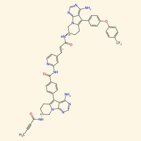 CC#CC(=O)N[C@@H]1CCc2c(-c3ccc(C(=O)Nc4cc(/C=C/C(=O)N[C@@H]5CCc6c(-c7ccc(Oc8ccc(C(F)(F)F)cc8)cc7)c7c(N)ncnc7n6C5)ccn4)cc3)c3c(N)ncnc3n2C1